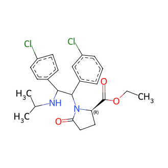 CCOC(=O)[C@H]1CCC(=O)N1C(c1cccc(Cl)c1)C(NC(C)C)c1ccc(Cl)cc1